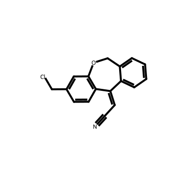 N#CC=C1c2ccccc2COc2cc(CCl)ccc21